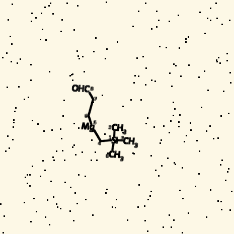 C[Si](C)(C)[CH2][Mg][CH2]CC=O